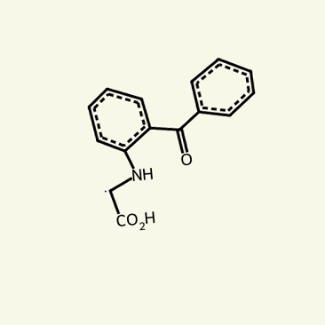 O=C(O)[CH]Nc1ccccc1C(=O)c1ccccc1